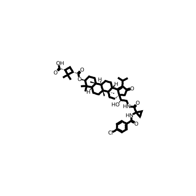 CC(C)C1=C2[C@H]3CC[C@@H]4[C@@]5(C)CC[C@H](OC(=O)[C@H]6C[C@@H](C(=O)O)C6(C)C)C(C)(C)[C@@H]5CC[C@@]4(C)[C@]3(C)CC[C@@]2([C@@H](O)CNC(=O)C2(NC(=O)c3ccc(Cl)cc3)CC2)CC1=O